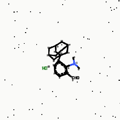 CN(C)c1c(C=O)cccc1C12CC3CC(CC(C3)C1)C2.Cl